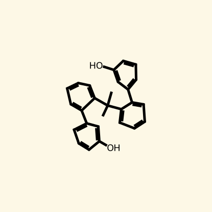 CC(C)(c1ccccc1-c1cccc(O)c1)c1ccccc1-c1cccc(O)c1